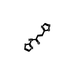 O=C(/C=C/c1ncno1)Nc1nccs1